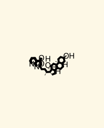 C[C@H](CCc1nc2ncccc2c(=O)o1)[C@H]1CC[C@H]2[C@@H]3CC[C@@H]4C[C@H](O)CC[C@]4(C)C3C[C@H](O)[C@]12C